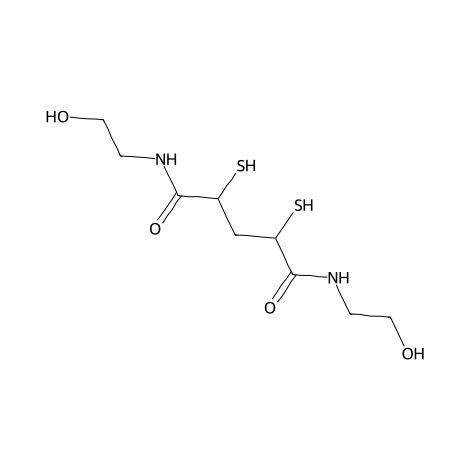 O=C(NCCO)C(S)CC(S)C(=O)NCCO